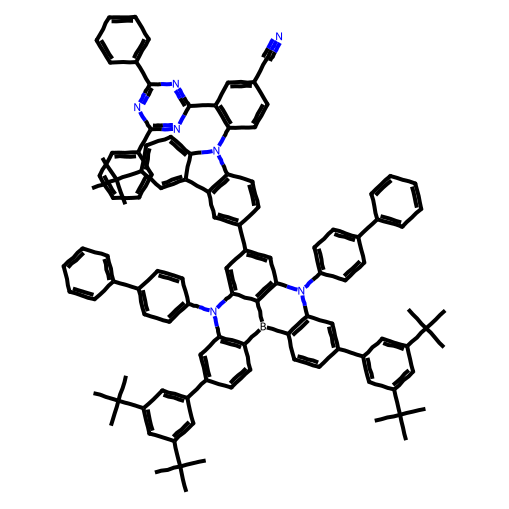 CC(C)(C)c1cc(-c2ccc3c(c2)N(c2ccc(-c4ccccc4)cc2)c2cc(-c4ccc5c(c4)c4cc(C(C)(C)C)ccc4n5-c4ccc(C#N)cc4-c4nc(-c5ccccc5)nc(-c5ccccc5)n4)cc4c2B3c2ccc(-c3cc(C(C)(C)C)cc(C(C)(C)C)c3)cc2N4c2ccc(-c3ccccc3)cc2)cc(C(C)(C)C)c1